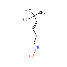 CC(C)(C)/C=C/CCNO